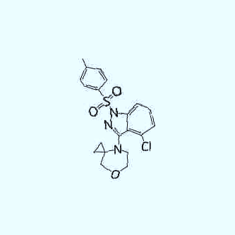 Cc1ccc(S(=O)(=O)n2nc(N3CCOCC34CC4)c3c(Cl)cccc32)cc1